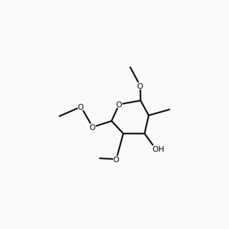 COOC1OC(OC)C(C)C(O)C1OC